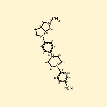 CN1CC2CCN(c3ccc(N4CCN(c5ccc(C#N)cn5)CC4)cc3)C2C1